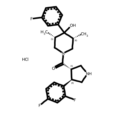 C[C@@H]1CN(C(=O)[C@@H]2CNC[C@H]2c2ccc(F)cc2F)C[C@H](C)C1(O)c1cccc(F)c1.Cl